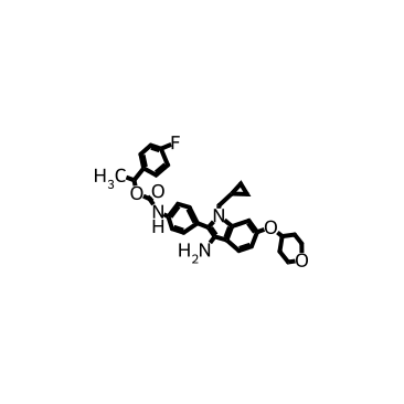 CC(OC(=O)Nc1ccc(-c2c(N)c3ccc(OC4CCOCC4)cc3n2CC2CC2)cc1)c1ccc(F)cc1